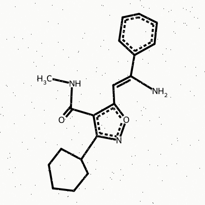 CNC(=O)c1c(C2CCCCC2)noc1C=C(N)c1ccccc1